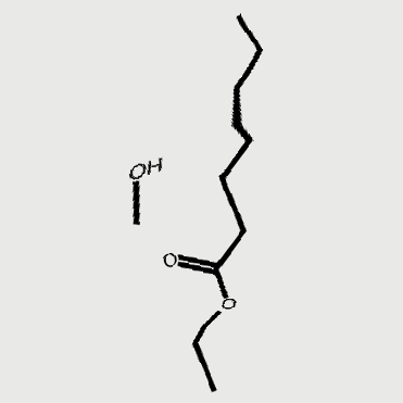 CCCCCCC(=O)OCC.CO